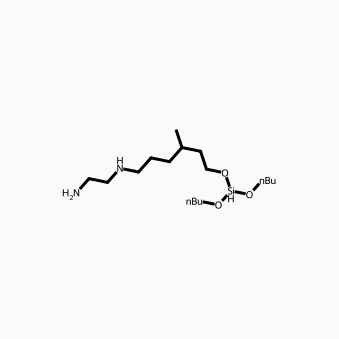 CCCCO[SiH](OCCCC)OCCC(C)CCCNCCN